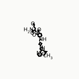 COc1cccnc1-c1cn([C@H]2C[C@H](CNc3ccc4c(c3)C(=O)N(C(CCC=O)C(N)=O)C4=O)C2)nc1C1CC1